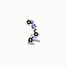 COc1ccc(C(=O)Nc2cccc(CCN3CCN(c4nsc5ccccc45)CC3)c2)c(OC)c1